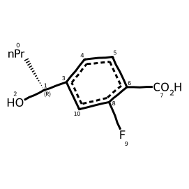 CCC[C@@H](O)c1ccc(C(=O)O)c(F)c1